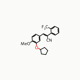 COc1ccc(/C=C(\C#N)c2ccccc2C(F)(F)F)cc1OC1CCCC1